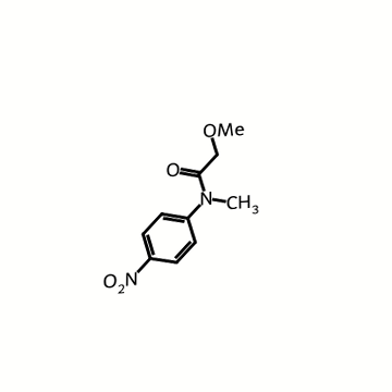 COCC(=O)N(C)c1ccc([N+](=O)[O-])cc1